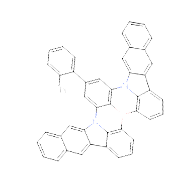 CC(C)c1ccccc1-c1cc2c3c(c1)-n1c4cc5ccccc5cc4c4cccc(c41)B3c1cccc3c4cc5ccccc5cc4n-2c13